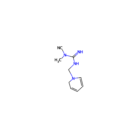 CN(C#N)C(=N)NCN1C=CC=CC1